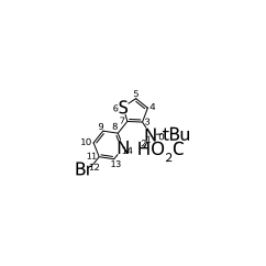 CC(C)(C)N(C(=O)O)c1ccsc1-c1ccc(Br)cn1